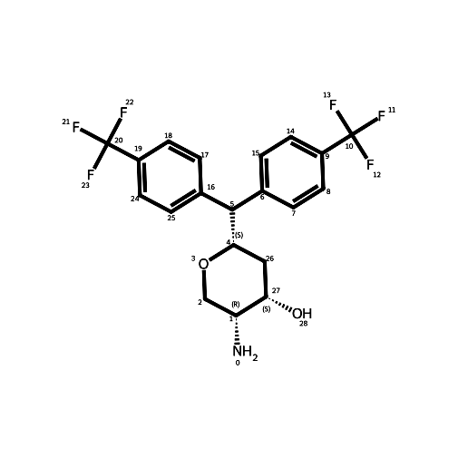 N[C@@H]1CO[C@H](C(c2ccc(C(F)(F)F)cc2)c2ccc(C(F)(F)F)cc2)C[C@@H]1O